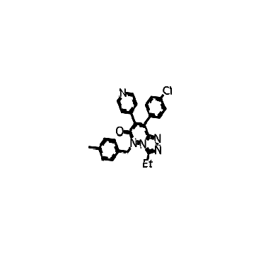 CCc1nnc2c(-c3ccc(Cl)cc3)c(-c3ccncc3)c(=O)n(Cc3ccc(C)cc3)n12